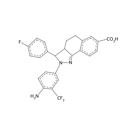 Nc1ccc(N2N=C3c4ccc(C(=O)O)cc4CCC3C2c2ccc(F)cc2)cc1C(F)(F)F